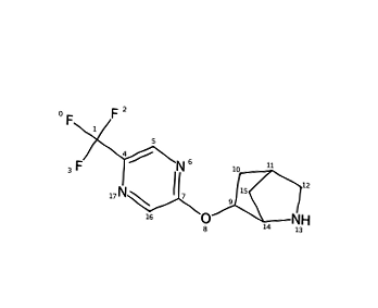 FC(F)(F)c1cnc(OC2CC3CNC2C3)cn1